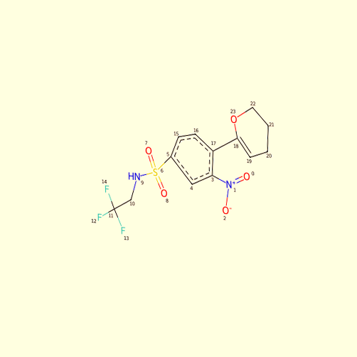 O=[N+]([O-])c1cc(S(=O)(=O)NCC(F)(F)F)ccc1C1=CCCCO1